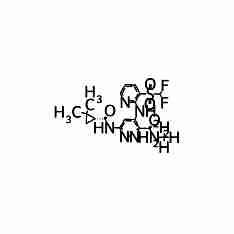 [2H]C([2H])([2H])NC(=O)c1nnc(NC(=O)[C@@H]2CC2(C)C)cc1Nc1ncccc1S(=O)(=O)C(F)F